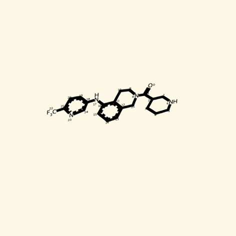 O=C(C1CCCNC1)N1CCc2c(cccc2Nc2ccc(C(F)(F)F)nc2)C1